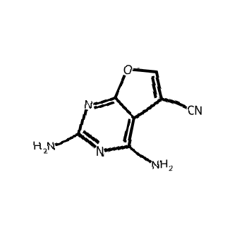 N#Cc1coc2nc(N)nc(N)c12